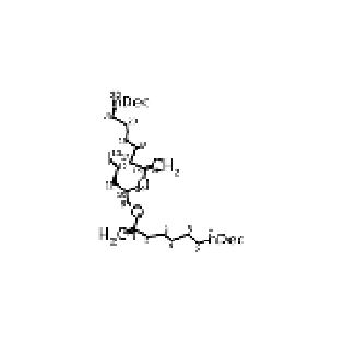 C=C(CCCCCCCCCCCCCCC)OCC(CCI)OC(=C)CCCCCCCCCCCCCCC